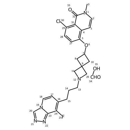 Cn1ccc2c(OC3CC4(C3)CN(CCCc3ccn5cnnc5c3F)C4)ccc(Cl)c2c1=O.O=CO